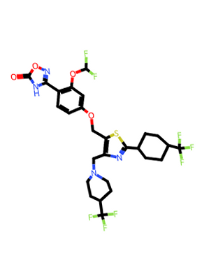 O=c1[nH]c(-c2ccc(OCc3sc(C4CCC(C(F)(F)F)CC4)nc3CN3CCC(C(F)(F)F)CC3)cc2OC(F)F)no1